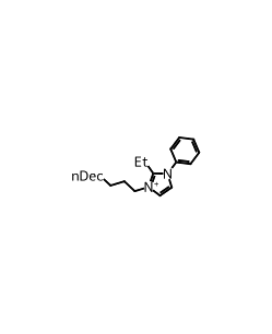 CCCCCCCCCCCCC[n+]1ccn(-c2ccccc2)c1CC